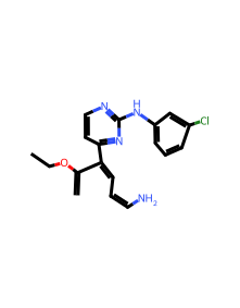 C=C(OCC)/C(=C\C=C/N)c1ccnc(Nc2cccc(Cl)c2)n1